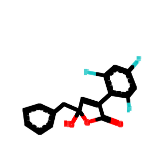 O=C1OC(O)(Cc2ccccc2)C=C1c1c(F)cc(F)cc1F